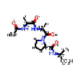 CCCCC(=O)N[C@@H](C)C(=O)N[C@@H](C)C(=O)N1CCC[C@@H]1C(=O)N[C@H](C(=O)O)C(C)C